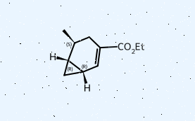 CCOC(=O)C1=C[C@@H]2C[C@@H]2[C@@H](C)C1